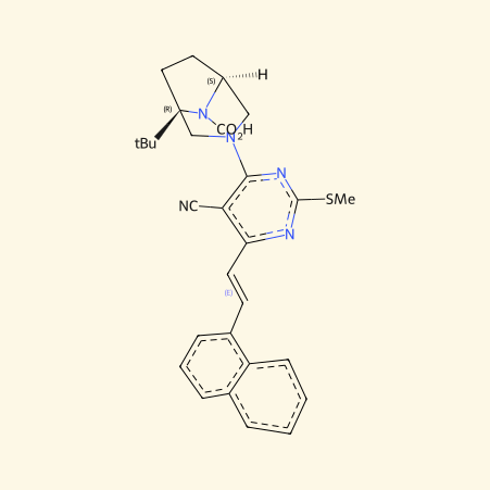 CSc1nc(/C=C/c2cccc3ccccc23)c(C#N)c(N2C[C@@H]3CC[C@@](C(C)(C)C)(C2)N3C(=O)O)n1